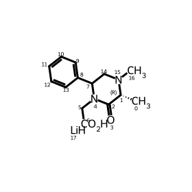 C[C@@H]1C(=O)N(CC(=O)O)C(c2ccccc2)CN1C.[LiH]